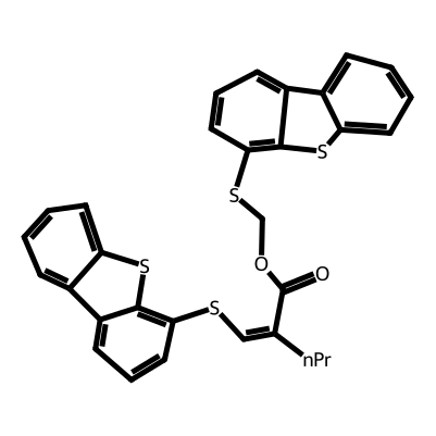 CCCC(=CSc1cccc2c1sc1ccccc12)C(=O)OCSc1cccc2c1sc1ccccc12